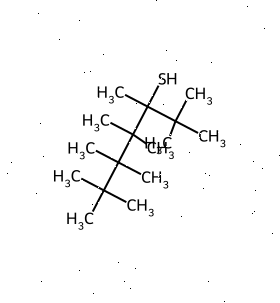 CC(C)(C)C(C)(C)C(C)(C)C(C)(S)C(C)(C)C